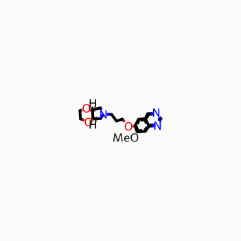 COc1cc2ncncc2cc1OCCCN1C[C@@H]2OCCO[C@@H]2C1